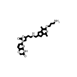 Cc1nc(OCCCN)c(C)c2c1CC(CNCCC1CN(c3ccc4c(n3)NC(=O)CO4)C(=O)O1)C2